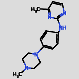 Cc1ccnc(Nc2ccc(N3CCN(C)CC3)cc2)n1